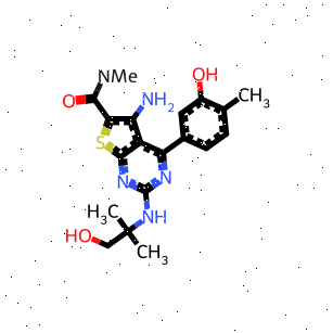 CNC(=O)c1sc2nc(NC(C)(C)CO)nc(-c3ccc(C)c(O)c3)c2c1N